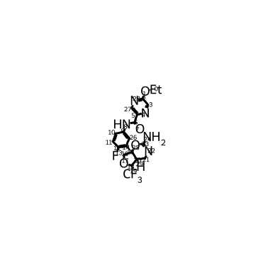 CCOc1cnc(C(=O)Nc2ccc(F)c([C@]34CO[C@H](C(F)(F)F)[C@H]3CN=C(N)O4)c2)cn1